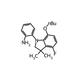 CCCCOc1ccc(F)c2c1N(c1ccccc1N)CC2(C)C